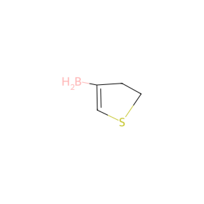 BC1=CSCC1